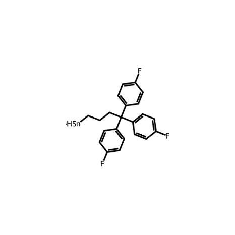 Fc1ccc(C(CC[CH2][SnH])(c2ccc(F)cc2)c2ccc(F)cc2)cc1